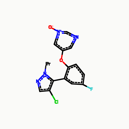 CC(C)n1ncc(Cl)c1-c1cc(F)ccc1Oc1cnc[n+]([O-])c1